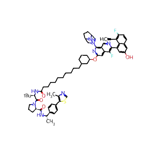 C#Cc1c(F)ccc2cc(O)cc(-c3ncc4c(N5CC6CCC(C5)N6)nc(OC5CCCC(CCCCCCCCCCC(=O)N[C@@H](C(=O)N6CCC[C@@H]6C(=O)N[C@@H](C)c6ccc(-c7scnc7C)cc6)C(C)(C)C)C5)cc4c3F)c12